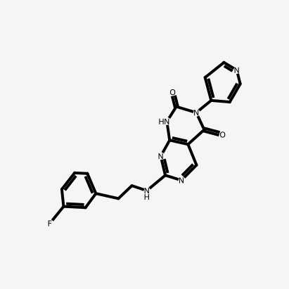 O=c1[nH]c2nc(NCCc3cccc(F)c3)ncc2c(=O)n1-c1ccncc1